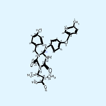 Cc1ccc(Oc2ccc(/N=c3\[nH]c(=O)n([C@H](C)[C@H](C)C(=O)O)c(=O)n3Cc3ccc(Cl)cc3)cc2)cn1